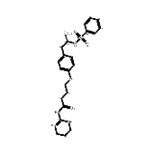 O=C(CCCOc1ccc(C[C@H](NS(=O)(=O)c2ccccc2)C(=O)O)cc1)NC1=NCCCN1